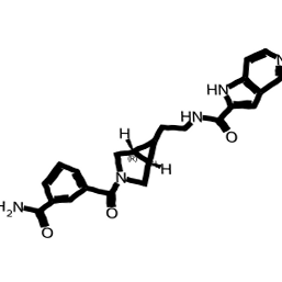 NC(=O)c1cccc(C(=O)N2C[C@@H]3C(CCNC(=O)c4cc5cnccc5[nH]4)[C@@H]3C2)c1